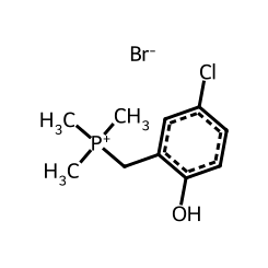 C[P+](C)(C)Cc1cc(Cl)ccc1O.[Br-]